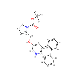 CC(C)(C)OC(=O)N1CCC[C@H]1COc1cnc(-c2ccccc2)c(-c2ccccc2)c1